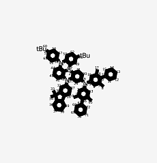 Cc1cc(N(c2cc(C)c(-c3ccccc3)c(C)c2)c2ccc3c(c2)N(c2ccc4c(c2)C(C)(C)c2ccccc2-4)c2cccc4c2B3c2cc(C(C)(C)C)ccc2N4c2ccc(C(C)(C)C)cc2)cc(C)c1-c1ccccc1